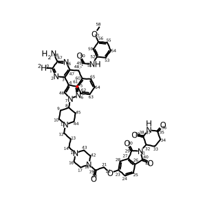 [2H]c1nc(-c2cnn(C3CCN(CCCN4CCN(C(=O)COc5ccc6c(c5)C(=O)N(C5CCC(=O)NC5=O)C6=O)CC4)CC3)c2)c([C@H](C(=O)Nc2cccc(OC)c2)c2ccccc2)nc1N